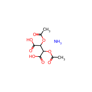 CC(=O)OC(C(=O)O)C(OC(C)=O)C(=O)O.N